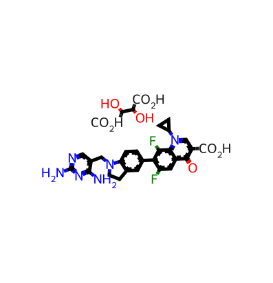 Nc1ncc(CN2CCc3cc(-c4c(F)cc5c(=O)c(C(=O)O)cn(C6CC6)c5c4F)ccc32)c(N)n1.O=C(O)C(O)C(O)C(=O)O